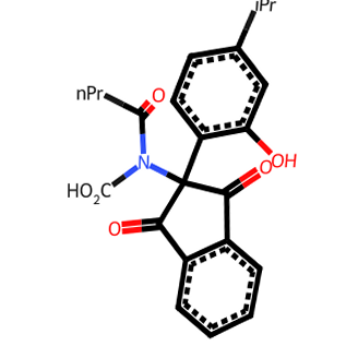 CCCC(=O)N(C(=O)O)C1(c2ccc(C(C)C)cc2O)C(=O)c2ccccc2C1=O